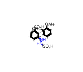 COc1ccccc1C=O.O=S(=O)(O)NNc1cccc(S(=O)(=O)O)c1